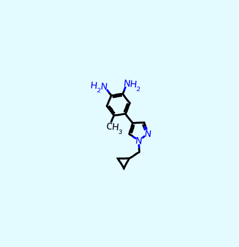 Cc1cc(N)c(N)cc1-c1cnn(CC2CC2)c1